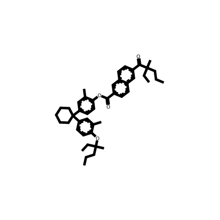 CCCC(C)(CC)Oc1ccc(C2(c3ccc(OC(=O)c4ccc5cc(C(=O)C(C)(CC)CCC)ccc5c4)c(C)c3)CCCCC2)cc1C